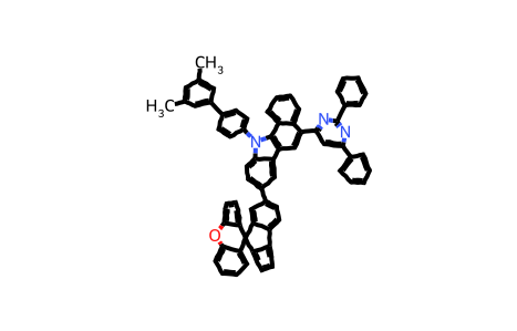 Cc1cc(C)cc(-c2ccc(-n3c4ccc(-c5ccc6c(c5)C5(c7ccccc7Oc7ccccc75)c5ccccc5-6)cc4c4cc(-c5cc(-c6ccccc6)nc(-c6ccccc6)n5)c5ccccc5c43)cc2)c1